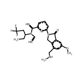 CCC(CC(F)(F)F)N(C=N)C(=N)c1cccc(N2Cc3c(CNC)cc(OC)cc3C2=O)n1